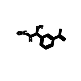 C=C(C)c1cccc(C(CCC)N[C]=O)c1